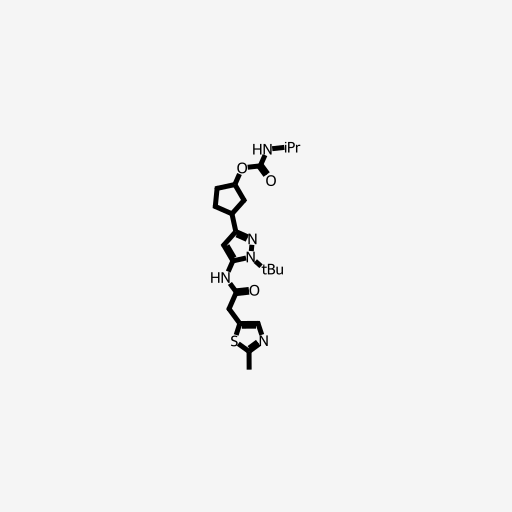 Cc1ncc(CC(=O)Nc2cc(C3CCC(OC(=O)NC(C)C)C3)nn2C(C)(C)C)s1